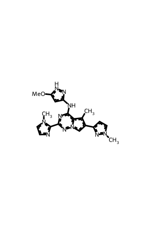 COc1cc(Nc2nc(-c3nccn3C)nn3cc(-c4ccn(C)n4)c(C)c23)n[nH]1